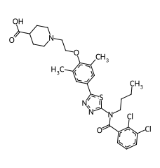 CCCCN(C(=O)c1cccc(Cl)c1Cl)c1nnc(-c2cc(C)c(OCCN3CCC(C(=O)O)CC3)c(C)c2)s1